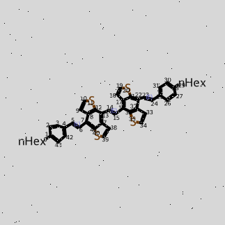 CCCCCCc1ccc(/C=C/c2c3ccsc3c(/C=C/c3c4ccsc4c(/C=C/c4ccc(CCCCCC)cc4)c4ccsc34)c3ccsc23)cc1